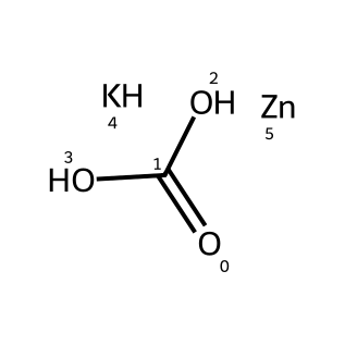 O=C(O)O.[KH].[Zn]